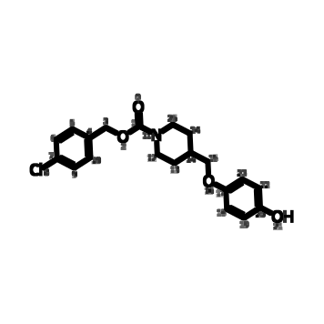 O=C(OCc1ccc(Cl)cc1)N1CCC(COc2ccc(O)cc2)CC1